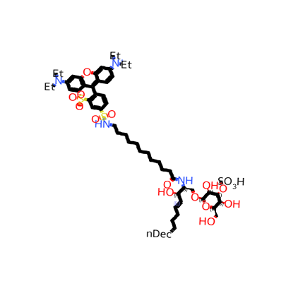 CCCCCCCCCCCCC/C=C/[C@@H](O)[C@H](CO[C@@H]1O[C@H](CO)[C@H](O)[C@H](OS(=O)(=O)O)[C@H]1O)NC(=O)CCCCCCCCCCCNS(=O)(=O)c1ccc(-c2c3ccc(=[N+](CC)CC)cc-3oc3cc(N(CC)CC)ccc23)c(S(=O)(=O)[O-])c1